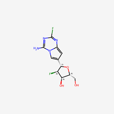 Nc1nc(F)nc2cc([C@@H]3O[C@H](CO)[C@@H](O)[C@H]3F)cn12